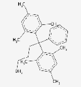 BCCCC(c1ccccc1)(c1c(C)cc(C)cc1C)c1c(C)cc(C)cc1C